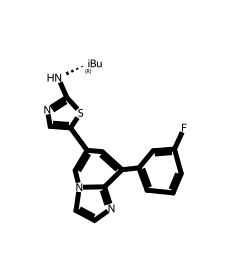 CC[C@@H](C)Nc1ncc(-c2cc(-c3cccc(F)c3)c3nccn3c2)s1